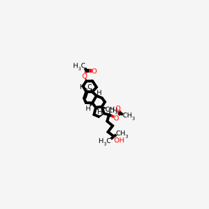 CC(=O)O[C@H]1CC[C@@]2(C)C(=CC[C@H]3[C@@H]4CC[C@H]([C@](C)(CCCC(C)(C)O)OC(C)=O)[C@@]4(C)CC[C@@H]32)C1